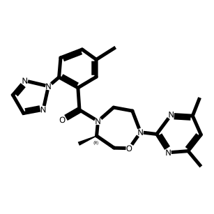 Cc1ccc(-n2nccn2)c(C(=O)N2CCN(c3nc(C)cc(C)n3)OC[C@H]2C)c1